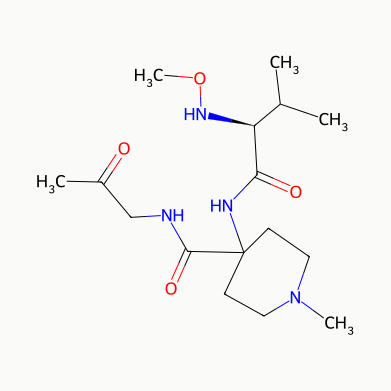 CON[C@H](C(=O)NC1(C(=O)NCC(C)=O)CCN(C)CC1)C(C)C